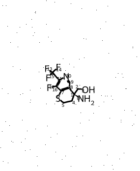 N[C@@]1(CO)CCSc2c1cnc(C(F)(F)F)c2F